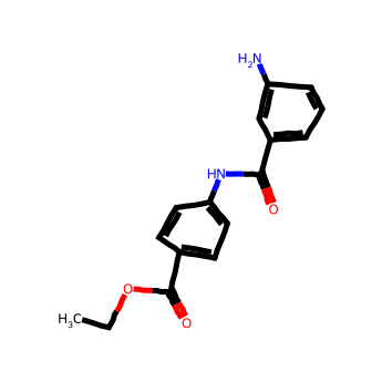 CCOC(=O)c1ccc(NC(=O)c2cccc(N)c2)cc1